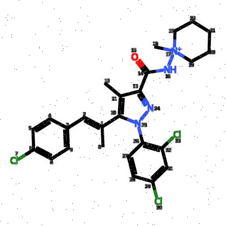 CC(=Cc1ccc(Cl)cc1)c1c(C)c(C(=O)N[N+]2(C)CCCCC2)nn1-c1ccc(Cl)cc1Cl